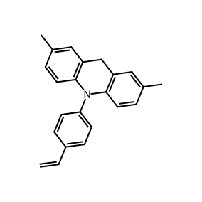 C=Cc1ccc(N2c3ccc(C)cc3Cc3cc(C)ccc32)cc1